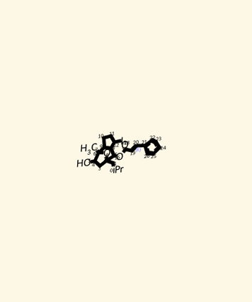 CC(C)CC12CC(O)C(C)(O1)C1CCC(I)C1C2OC(=O)/C=C/c1ccccc1